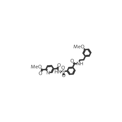 COC(=O)c1ccc(C(=O)NS(=O)(=O)c2cccc(C(=O)NCCc3cccc(OC)c3)c2)cn1